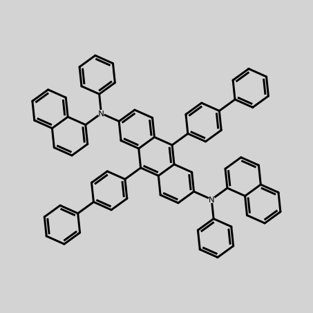 c1ccc(-c2ccc(-c3c4ccc(N(c5ccccc5)c5cccc6ccccc56)cc4c(-c4ccc(-c5ccccc5)cc4)c4ccc(N(c5ccccc5)c5cccc6ccccc56)cc34)cc2)cc1